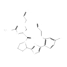 C=CCOC[C@H](NC(=O)OC)C(=O)N1CCCC1c1nc(-c2ccc(Br)cc2OCC=C)c[nH]1